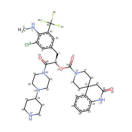 CNc1c(Cl)cc(C[C@@H](OC(=O)N2CCC3(CC2)CC(=O)Nc2ccccc23)C(=O)N2CCN(C3CCNCC3)CC2)cc1C(F)(F)F